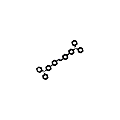 C1=CC(N(c2ccccc2)c2ccc(-c3ccc(/C=C/c4ccc(-c5ccc(N(c6ccccc6)c6ccccc6)cc5)cc4)cc3)cc2)=CCC1